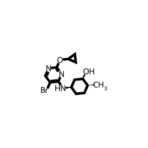 C[C@@H]1CC[C@@H](Nc2nc(OC3CC3)ncc2Br)C[C@H]1O